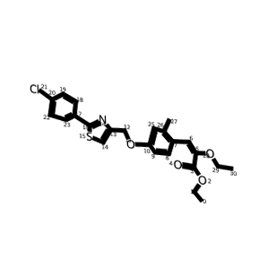 CCOC(=O)/C(=C\c1ccc(OCc2csc(-c3ccc(Cl)cc3)n2)cc1C)OCC